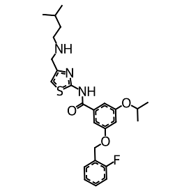 CC(C)CCNCc1csc(NC(=O)c2cc(OCc3ccccc3F)cc(OC(C)C)c2)n1